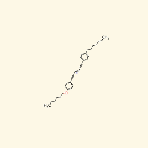 CCCCCCCc1ccc(C#C/C=C/C#Cc2ccc(OCCCCCC)cc2)cc1